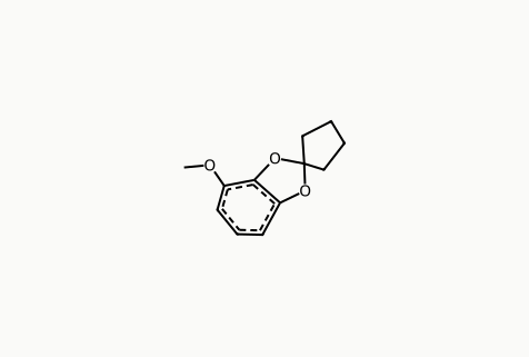 COc1cccc2c1OC1(CCCC1)O2